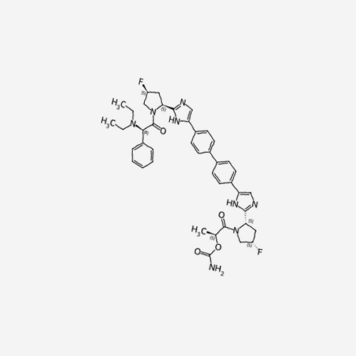 CCN(CC)[C@@H](C(=O)N1C[C@@H](F)C[C@H]1c1ncc(-c2ccc(-c3ccc(-c4cnc([C@@H]5C[C@H](F)CN5C(=O)[C@H](C)OC(N)=O)[nH]4)cc3)cc2)[nH]1)c1ccccc1